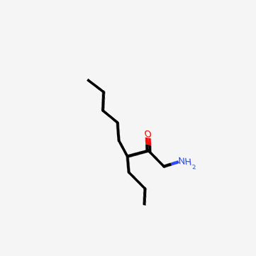 CCCCCC(CCC)C(=O)CN